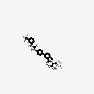 CC(C)[C@@H](C(=O)O)N1Cc2ccc(-c3ccc(NC(=S)Nc4cccc(C(F)(F)F)c4)cc3)cc2C1=O